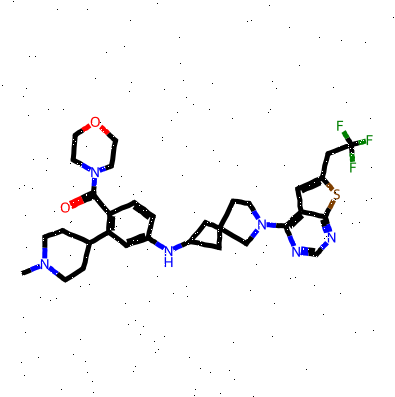 CN1CCC(c2cc(NC3CC4(CCN(c5ncnc6sc(CC(F)(F)F)cc56)C4)C3)ccc2C(=O)N2CCOCC2)CC1